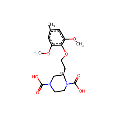 COc1cc(C)cc(OC)c1OCC[C@@H]1CN(C(=O)O)CCN1C(=O)O